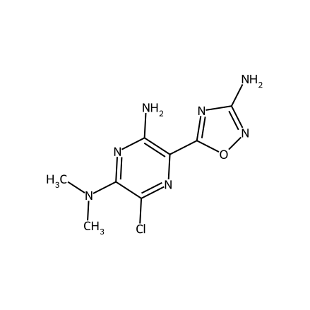 CN(C)c1nc(N)c(-c2nc(N)no2)nc1Cl